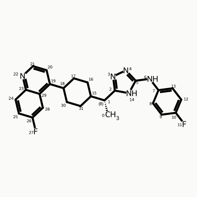 C[C@@H](c1nnc(Nc2ccc(F)cc2)[nH]1)C1CCC(c2ccnc3ccc(F)cc23)CC1